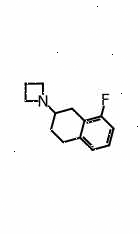 Fc1cccc2c1CC(N1CCC1)CC2